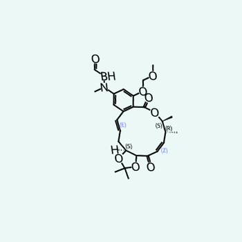 COCOc1cc(N(C)BC=O)cc2c1C(=O)O[C@@H](C)[C@H](C)/C=C\C(=O)C1OC(C)(C)O[C@H]1C/C=C/2